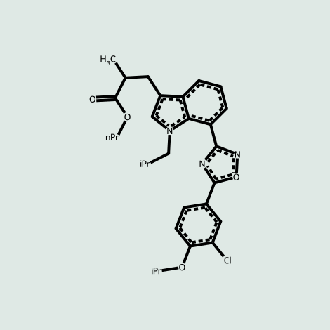 CCCOC(=O)C(C)Cc1cn(CC(C)C)c2c(-c3noc(-c4ccc(OC(C)C)c(Cl)c4)n3)cccc12